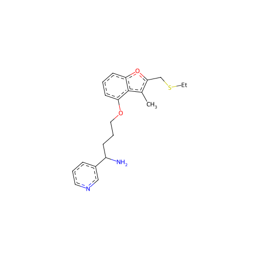 CCSCc1oc2cccc(OCCCC(N)c3cccnc3)c2c1C